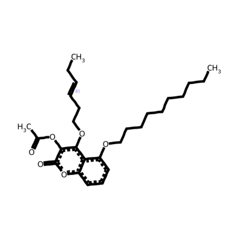 CC/C=C/CCOc1c(OC(C)=O)c(=O)oc2cccc(OCCCCCCCCCC)c12